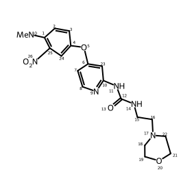 CNc1ccc(Oc2ccnc(NC(=O)NCCN3CCOCC3)c2)cc1[N+](=O)[O-]